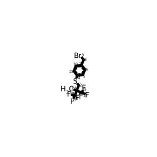 CC(CSc1ccc(CBr)cc1)(C(F)(F)F)C(F)(F)F